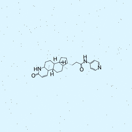 C[C@]12CC[C@H]3[C@@H](CCC4NC(=O)C=C[C@@]43C)[C@@H]1CC[C@@H]2CCC(=O)Nc1ccncc1